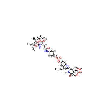 CCc1c2c(nc3ccc(OC(=O)OCc4ccc(NC(=O)CC[C@H](NC(=O)OC(C)(C)C)C(=O)OC(C)(C)C)cc4)cc13)-c1cc3c(c(=O)n1C2)COC(=O)[C@]3(O)CC